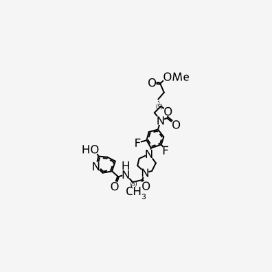 COC(=O)CC[C@H]1CN(c2cc(F)c(N3CCN(C(=O)[C@H](C)NC(=O)c4ccc(O)nc4)CC3)c(F)c2)C(=O)O1